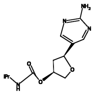 CC(C)NC(=O)O[C@@H]1CO[C@H](c2cnc(N)nc2)C1